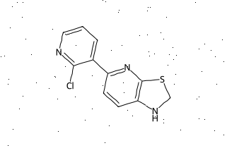 Clc1ncccc1-c1ccc2c(n1)SCN2